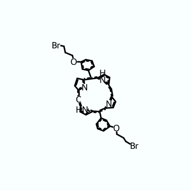 BrCCCOc1cccc(-c2c3nc(cc4ccc([nH]4)c(-c4cccc(OCCCBr)c4)c4nc(cc5ccc2[nH]5)C=C4)C=C3)c1